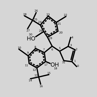 CC1=CC(C)C(C(c2cc(C)cc(C(C)(C)C)c2O)c2cc(C)cc(C(C)(C)C)c2O)C1